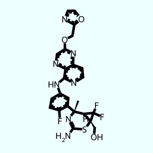 C[C@]1(c2cc(Nc3nccc4nc(OCc5ncco5)cnc34)ccc2F)N=C(N)S[C@]2(CO)[C@H]1C2(F)F